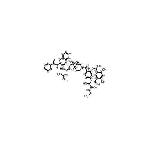 CCNC(=O)C(=N)N(C(=N)c1cc(C(C)C)c(O)cc1O)c1ccc(C(=O)N2CCC3(CC2)OB([C@H](CC(C)C)NC(=O)[C@H](Cc2ccccc2)NC(=O)c2cnccn2)OC3(C)C)cc1